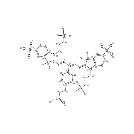 CC1(C)C(/C=C/C(=C/C=C2/N(CCC[N+](C)(C)C)c3ccc(S(=O)(=O)[O-])cc3C2(C)C)c2ccc(CCC(=O)[O-])cc2)=[N+](CCC[N+](C)(C)C)c2ccc(S(=O)(=O)[O-])cc21